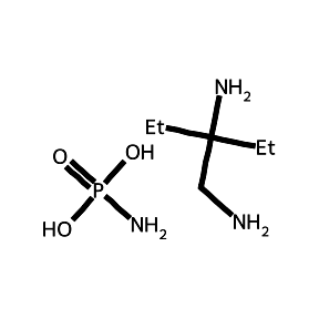 CCC(N)(CC)CN.NP(=O)(O)O